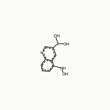 ONc1cccc2ncc(B(O)O)cc12